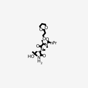 CCCC(=O)N(C)[C@H](COCCC1OCCCO1)C(=O)N(C)[C@@H](CC(C)(C)O)C(N)=O